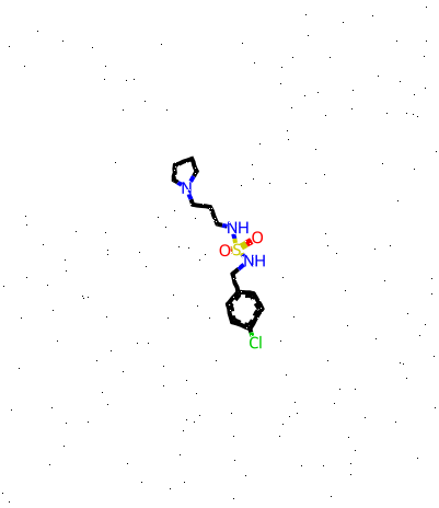 O=S(=O)(NCCCN1CCCC1)NCc1ccc(Cl)cc1